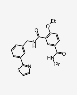 CCOc1ccc(C(=O)NC(C)C)cc1C(=O)NCc1cccc(-c2nccs2)c1